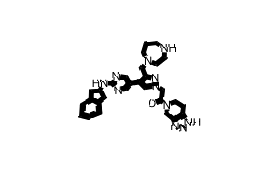 O=C(Cn1cc(-c2cnc(NC3Cc4ccccc4C3)nc2)c(CN2CCCNCC2)n1)N1CCc2[nH]nnc2C1